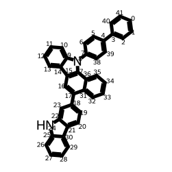 c1ccc(-c2ccc(-n3c4ccccc4c4cc(-c5ccc6c(c5)[nH]c5ccccc56)c5ccccc5c43)cc2)cc1